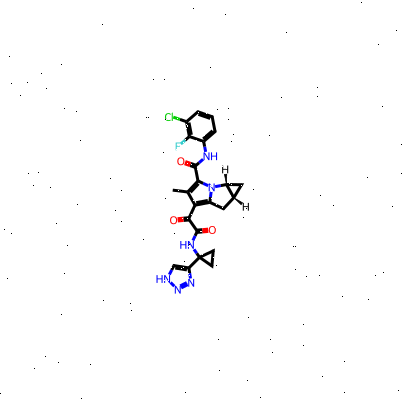 Cc1c(C(=O)C(=O)NC2(c3c[nH]nn3)CC2)c2n(c1C(=O)Nc1cccc(Cl)c1F)[C@@H]1C[C@@H]1C2